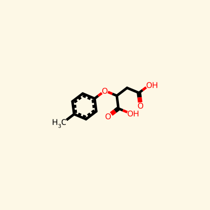 Cc1ccc(OC(CC(=O)O)C(=O)O)cc1